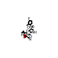 Cc1cc(F)ccc1S(=O)(=O)[C@H]1CN[C@H](C(=O)N(C(=O)C2(C(F)(F)F)CC2)C2(C#N)CC2)C1